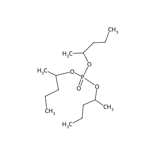 CCCC(C)OP(=O)(OC(C)CCC)OC(C)CCC